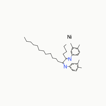 CCCCCCCCCCCCC(=Nc1ccc(C)c(C)c1)C(CCCC)=Nc1ccc(C)c(C)c1.[Ni]